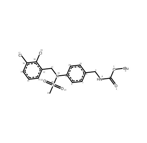 CC(C)(C)OC(=O)NCc1ccc(N(Cc2cccc(Cl)c2Cl)S(C)(=O)=O)cc1